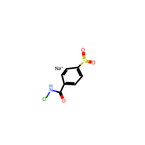 O=C(NCl)c1ccc([S-](=O)=O)cc1.[Na+]